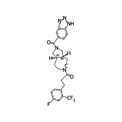 O=C(CCc1ccc(F)cc1C(F)(F)F)N1CC[C@@H]2CN(C(=O)c3ccc4[nH]nnc4c3)C[C@@H]2CC1